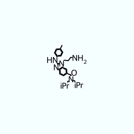 Cc1ccc(Nc2nc3ccc(C(=O)N(CC(C)C)CC(C)C)cc3n2CCCN)cc1